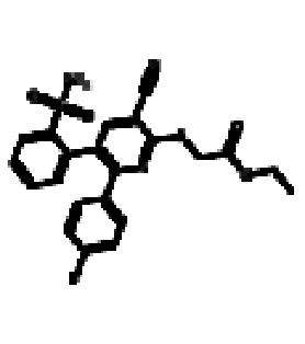 CCOC(=O)CSc1nc(-c2ccc(F)cc2)c(-c2ccccc2S(N)(=O)=O)cc1C#N